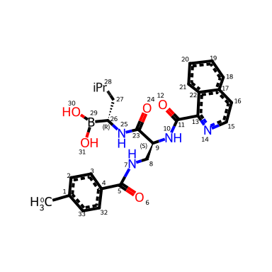 Cc1ccc(C(=O)NC[C@H](NC(=O)c2nccc3ccccc23)C(=O)N[C@@H](CC(C)C)B(O)O)cc1